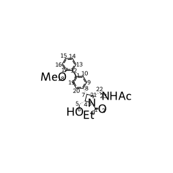 CCC(=O)N1[C@H](CO)[C@H](c2ccc(-c3ccccc3OC)cc2)[C@@H]1CNC(C)=O